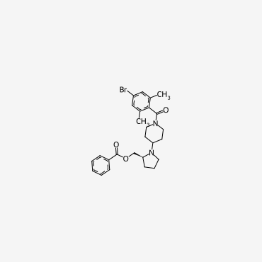 Cc1cc(Br)cc(C)c1C(=O)N1CCC(N2CCC[C@H]2COC(=O)c2ccccc2)CC1